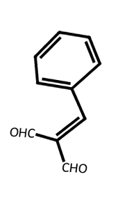 O=CC(C=O)=Cc1ccccc1